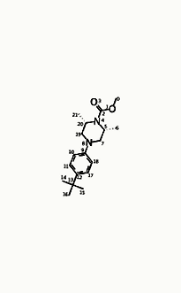 COC(=O)N1[C@H](C)CN(c2ccc(C(C)(C)C)cc2)C[C@@H]1C